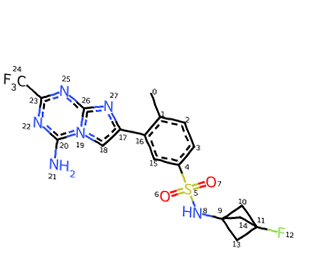 Cc1ccc(S(=O)(=O)NC23CC(F)(C2)C3)cc1-c1cn2c(N)nc(C(F)(F)F)nc2n1